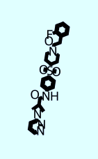 O=C(Nc1ccc(S(=O)(=O)C2CCN(C(=O)Cc3ccccc3F)CC2)cc1)C1CN(c2cccnn2)C1